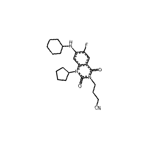 N#CCCCn1c(=O)c2cc(F)c(NC3CCCCC3)cc2n(C2CCCC2)c1=O